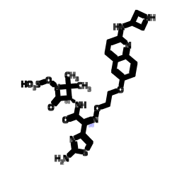 CC1(C)[C@H](NC(=O)/C(=N\OCCOc2ccc3nc(NC4CNC4)ccc3c2)c2csc(N)n2)C(=O)N1OS(=O)(=O)O